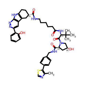 Cc1ncsc1-c1ccc(CNC(=O)[C@@H]2C[C@@H](O)CN2C(=O)[C@@H](NC(=O)CCCCCNC(=O)[C@H]2CCc3[nH]c4nnc(-c5ccccc5O)cc4c3C2)C(C)(C)C)cc1